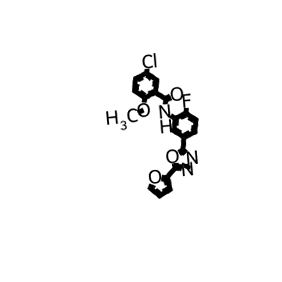 COc1ccc(Cl)cc1C(=O)Nc1cc(-c2nnc(-c3ccco3)o2)ccc1F